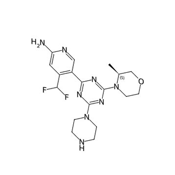 C[C@H]1COCCN1c1nc(-c2cnc(N)cc2C(F)F)nc(N2CCNCC2)n1